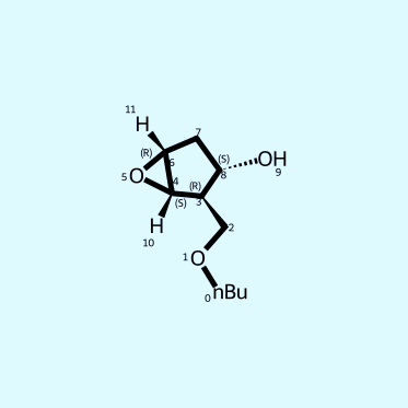 CCCCOC[C@H]1[C@@H]2O[C@@H]2C[C@@H]1O